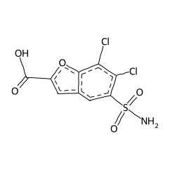 NS(=O)(=O)c1cc2cc(C(=O)O)oc2c(Cl)c1Cl